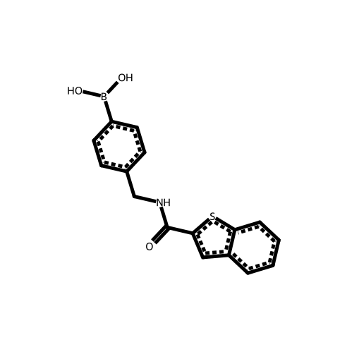 O=C(NCc1ccc(B(O)O)cc1)c1cc2ccccc2s1